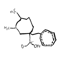 CC1CCC(c2ccccc2)([NH+]([O-])O)CN1C